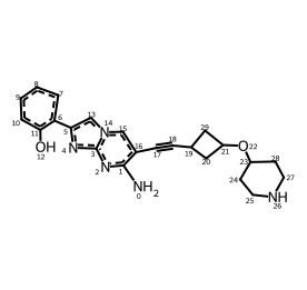 Nc1nc2nc(-c3ccccc3O)cn2cc1C#CC1CC(OC2CCNCC2)C1